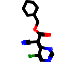 N#C/C(C(=O)OCC1CCCCC1)=C1/NC=NC=C1Br